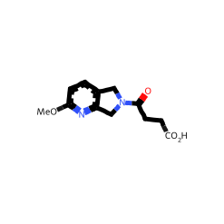 COc1ccc2c(n1)CN(C(=O)CCC(=O)O)C2